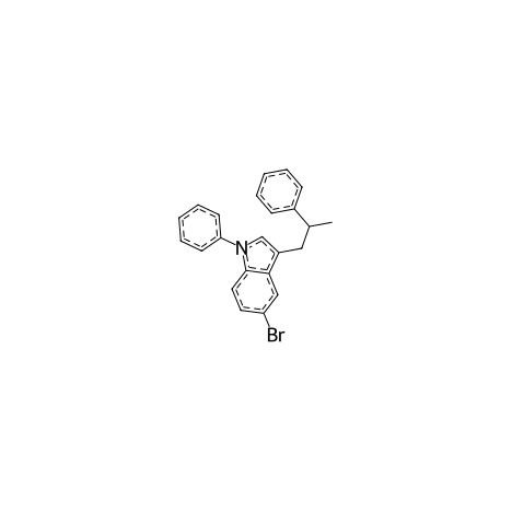 CC(Cc1cn(-c2ccccc2)c2ccc(Br)cc12)c1ccccc1